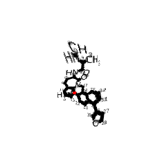 CNC(C)C(=O)NC1CCc2ccccc2N(Cc2c(OC)ccc3c(-c4ccoc4)cccc23)C1=O